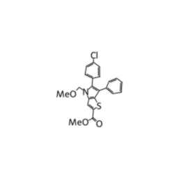 COCn1c(-c2ccc(Cl)cc2)c(-c2ccccc2)c2sc(C(=O)OC)cc21